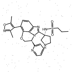 CCCS(=O)(=O)N[C@]1(c2nc3ccc(-c4c(C)noc4C)c4c3n2[C@@H](c2ccccn2)CO4)CCNC1